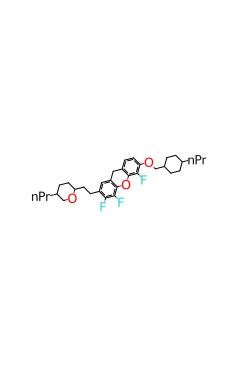 CCCC1CCC(COc2ccc3c(c2F)Oc2c(cc(CCC4CCC(CCC)CO4)c(F)c2F)C3)CC1